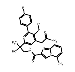 CCOc1c(CC(N)=O)cc([C@@](O)(CNC(=O)c2cn3c(C)cccc3n2)C(F)(F)F)nc1-c1ccc(F)cc1